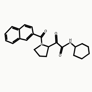 O=C(NC1CCCCC1)C(=O)C1CCCN1C(=O)c1ccc2ccccc2c1